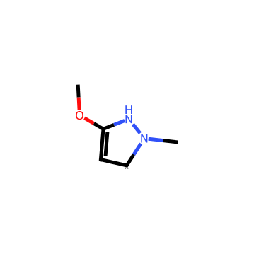 COC1=C[C]N(C)N1